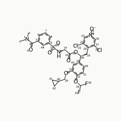 CN(C)C(=O)c1cccc(S(=O)(=O)NCC(=O)O[C@@H](Cc2c(Cl)c[n+]([O-])cc2Cl)c2ccc(OC(F)F)c(OCC3CC3)c2)c1